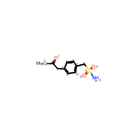 COC(=O)Cc1ccc(CS(N)(=O)=O)cc1